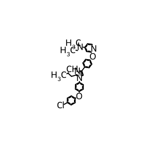 CCN(C)c1ccnc(Oc2ccc(-c3cn(-c4ccc(Oc5ccc(Cl)cc5)cc4)c(CC(C)C)n3)cc2)c1